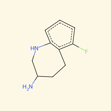 NC1CCc2c(F)cccc2NC1